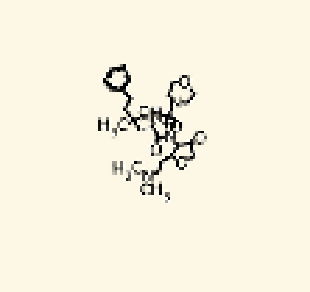 CN(C)CCC1OCC(=O)C1NC(=O)[C@H](CC(C)(C)CCc1ccccc1)NC(=O)N1CCOCC1